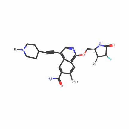 CC[C@@H]1[C@H](F)C(=O)N[C@@H]1COc1ncc(C#CC2CCN(CC)CC2)c2cc(C(N)=O)c(OC)cc12